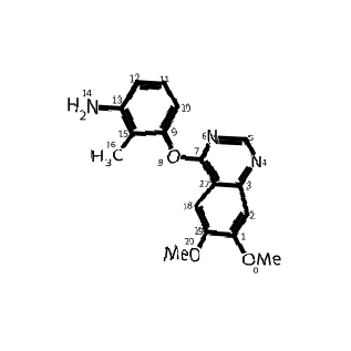 COc1cc2ncnc(Oc3cccc(N)c3C)c2cc1OC